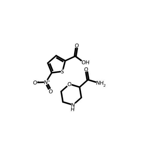 NC(=O)C1CNCCO1.O=C(O)c1ccc([N+](=O)[O-])s1